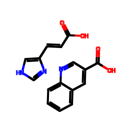 O=C(O)/C=C/c1c[nH]cn1.O=C(O)c1cnc2ccccc2c1